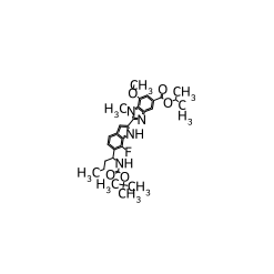 CCCC(NC(=O)OC(C)(C)C)c1ccc2cc(-c3nc4cc(C(=O)OC(C)C)cc(OC)c4n3C)[nH]c2c1F